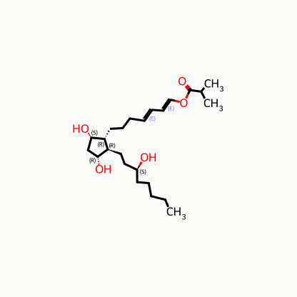 CCCCC[C@H](O)CC[C@@H]1[C@@H](CCC/C=C/C=C/OC(=O)C(C)C)[C@@H](O)C[C@H]1O